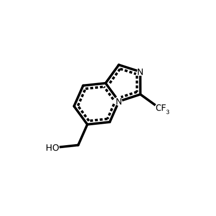 OCc1ccc2cnc(C(F)(F)F)n2c1